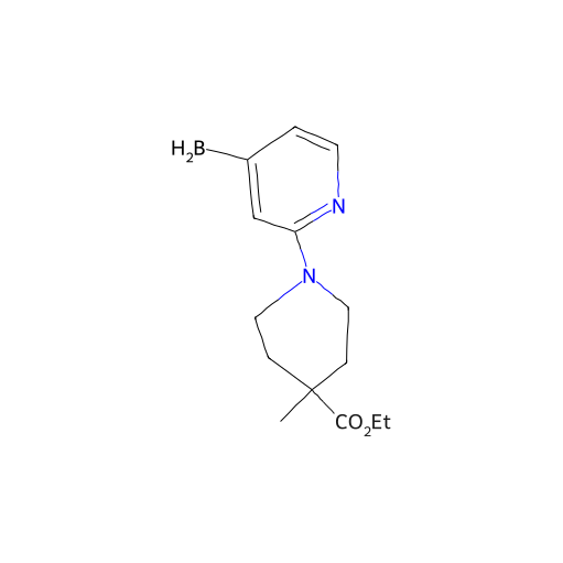 Bc1ccnc(N2CCC(C)(C(=O)OCC)CC2)c1